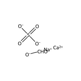 O=C[O-].O=S(=O)([O-])[O-].[Ca+2].[Na+]